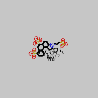 CC1=[N+](CCCS(=O)(=O)[O-])c2ccc3c(S(=O)(=O)[O-])cc4c(S(=O)(=O)[O-])cccc4c3c2C1(C)C.[Na+].[Na+]